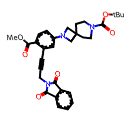 COC(=O)c1ccc(N2CC3(CCN(C(=O)OC(C)(C)C)CC3)C2)cc1C#CCN1C(=O)c2ccccc2C1=O